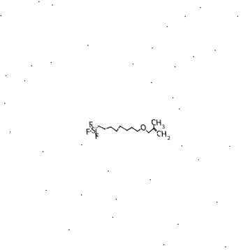 C=C(C)COCCCCCCCC[Si](F)(F)F